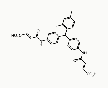 Cc1ccc(C(c2ccc(NC(=O)/C=C/C(=O)O)cc2)c2ccc(NC(=O)/C=C/C(=O)O)cc2)c(C)c1